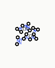 N#Cc1c(-n2c3ccccc3c3cc(-n4c5ccccc5c5ccccc54)ccc32)cccc1-n1c2ccc(-n3c4ccccc4n4c5ccccc5nc34)cc2c2ccc(-c3cccc4c3nc3n(-c5cccc(-n6c7ccccc7c7ccccc76)c5C#N)c5ccccc5n43)cc21